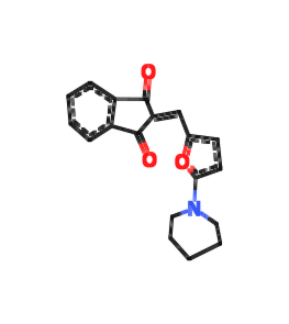 O=C1C(=Cc2ccc(N3CCCCC3)o2)C(=O)c2ccccc21